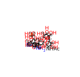 CC(=O)NC1[C@H](O[C@@H]2C(O[C@@H]3OC(CO)[C@@H](O)[C@H](O)C3O)O[C@@H](OC3[C@@H](OP(=O)(O)O)OC(C(N)=O)[C@@](C)(O)[C@@H]3OC(N)=O)C(NC(C)=O)[C@H]2O)OC(CO)[C@@H](O)[C@@H]1O